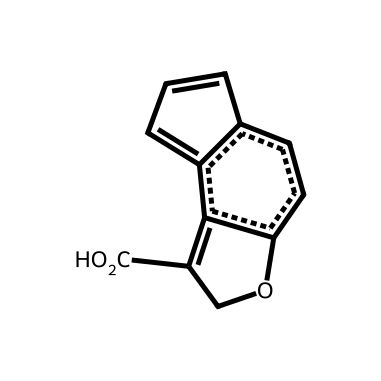 O=C(O)C1=c2c(ccc3c2=CC=C3)OC1